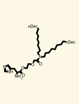 CCCCCCCCCCCCCCCCCCN(CCCCCCCCCCCCCCCCCC)C(=O)COCCOC(=O)C(N)Cc1cnc[nH]1